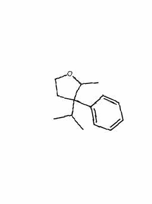 CC(C)C1(c2ccccc2)CCOC1C